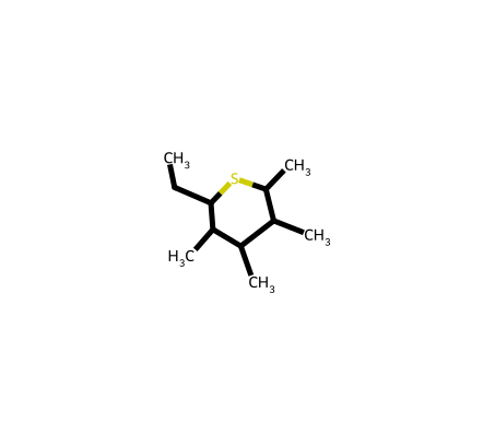 CCC1SC(C)C(C)C(C)C1C